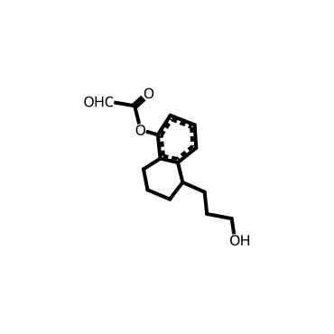 O=CC(=O)Oc1cccc2c1CCCC2CCCO